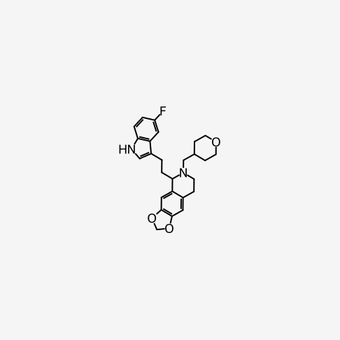 Fc1ccc2[nH]cc(CCC3c4cc5c(cc4CCN3CC3CCOCC3)OCO5)c2c1